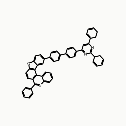 C1=CCCC(c2cc(-c3ccc(-c4ccc(-c5ccc6oc7ccc8c(-c9ccccc9)nc9ccccc9c8c7c6c5)cc4)cc3)nc(C3C=CC=CC3)n2)=C1